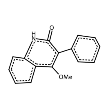 COc1c(-c2ccccc2)c(=O)[nH]c2ccccc12